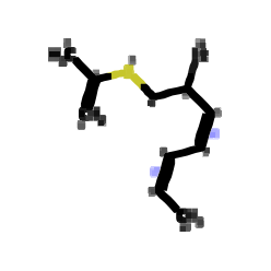 C=C(C)SCC(/C=C\C=C/C)CC